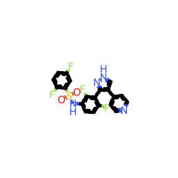 O=S(=O)(Nc1ccc(F)c(-c2n[nH]cc2-c2ccncc2)c1F)c1cc(F)ccc1F